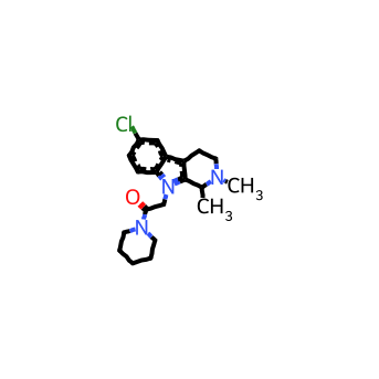 CC1c2c(c3cc(Cl)ccc3n2CC(=O)N2CCCCC2)CCN1C